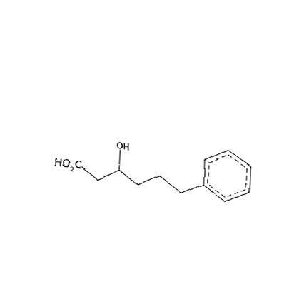 O=C(O)CC(O)CCCc1ccccc1